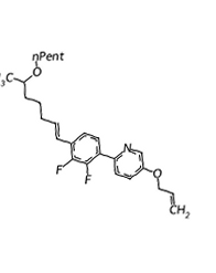 C=CCOc1ccc(-c2ccc(/C=C/CCCC(C)OCCCCC)c(F)c2F)nc1